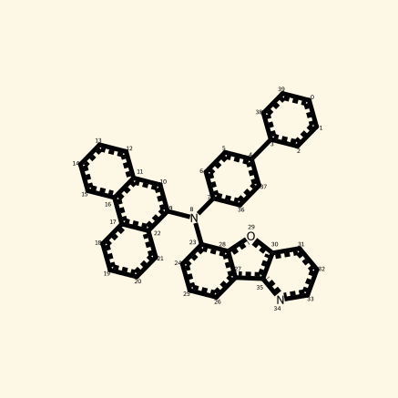 c1ccc(-c2ccc(N(c3cc4ccccc4c4ccccc34)c3cccc4c3oc3cccnc34)cc2)cc1